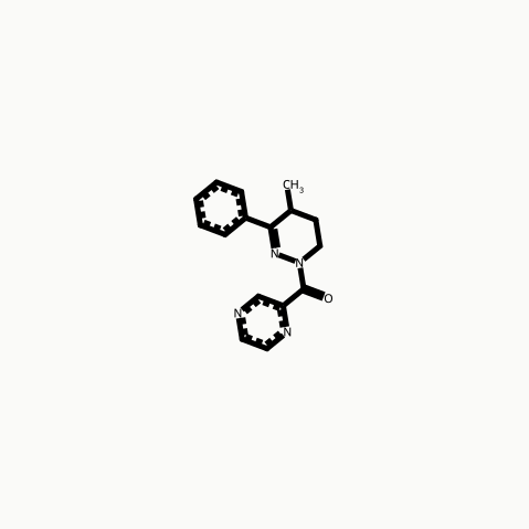 CC1CCN(C(=O)c2cnccn2)N=C1c1ccccc1